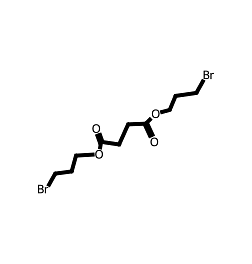 O=C(CCC(=O)OCCCBr)OCCCBr